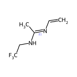 C=C/N=C(\C)NCC(F)(F)F